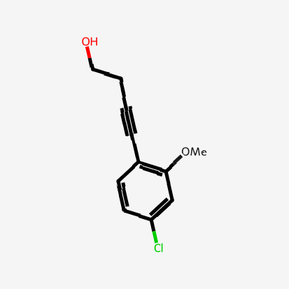 COc1cc(Cl)ccc1C#CCCO